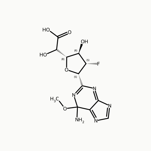 COC1(N)N=C([C@@H]2O[C@H](C(O)C(=O)O)[C@@H](O)[C@@H]2F)N=C2N=CN=C21